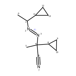 CC(/N=N/C(C)(C#N)C1CC1)C1CC1